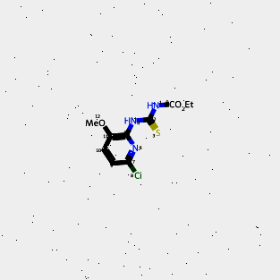 CCOC(=O)NC(=S)Nc1nc(Cl)ccc1OC